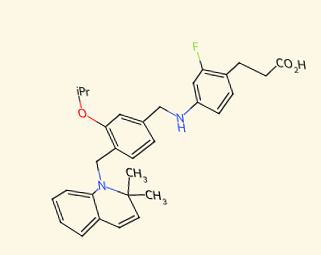 CC(C)Oc1cc(CNc2ccc(CCC(=O)O)c(F)c2)ccc1CN1c2ccccc2C=CC1(C)C